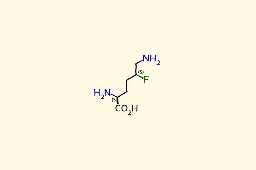 NC[C@@H](F)CC[C@H](N)C(=O)O